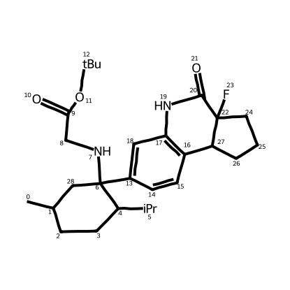 CC1CCC(C(C)C)C(NCC(=O)OC(C)(C)C)(c2ccc3c(c2)NC(=O)C2(F)CCCC32)C1